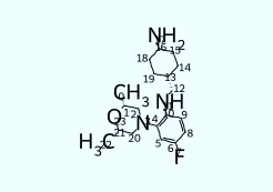 C[C@@H]1CN(c2cc(F)ccc2NC[C@H]2CC[C@H](N)CC2)C[C@H](C)O1